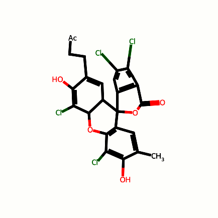 CC(=O)CCC1=CC2C(Oc3c(cc(C)c(O)c3Cl)C23OC(=O)c2cc(Cl)c(Cl)cc23)C(Cl)=C1O